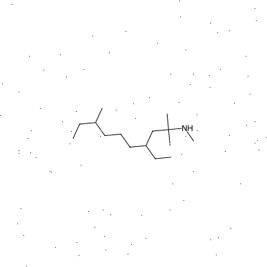 CCC(C)CCCC(CC)CC(C)(C)NC